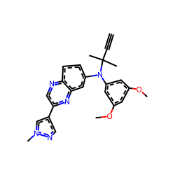 C#CC(C)(C)N(c1cc(OC)cc(OC)c1)c1ccc2ncc(-c3cnn(C)c3)nc2c1